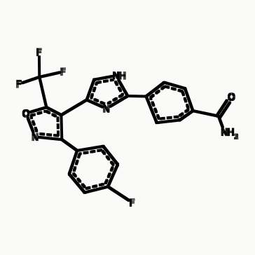 NC(=O)c1ccc(-c2nc(-c3c(-c4ccc(F)cc4)noc3C(F)(F)F)c[nH]2)cc1